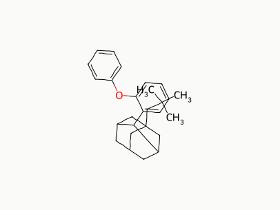 CC(C)(C)CC12CC3CC(C1)C(c1ccccc1Oc1ccccc1)C(C3)C2